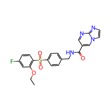 CCOc1cc(F)ccc1S(=O)(=O)c1ccc(CNC(=O)c2cnc3nccn3c2)cc1